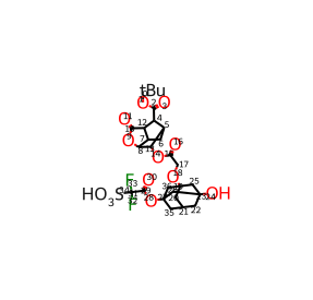 CC(C)(C)OC(=O)C1C2CC3C(OC(=O)C31)C2OC(=O)COC12CC3CC(O)(C1)CC(OC(=O)C(F)(F)S(=O)(=O)O)(C3)C2